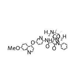 COc1ccc2c(Oc3ccc(NC(=O)c4c(C)n(C[C@@H](C)[C@](C)(N)C(=O)O)n(-c5ccccc5)c4=O)nc3)ccnc2c1